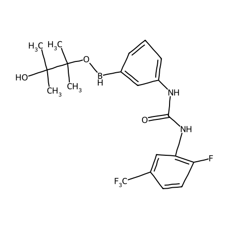 CC(C)(O)C(C)(C)OBc1cccc(NC(=O)Nc2cc(C(F)(F)F)ccc2F)c1